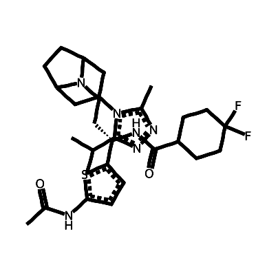 CC(=O)Nc1ccc([C@H](CCN2C3CCC2CC(n2c(C)nnc2C(C)C)C3)NC(=O)C2CCC(F)(F)CC2)s1